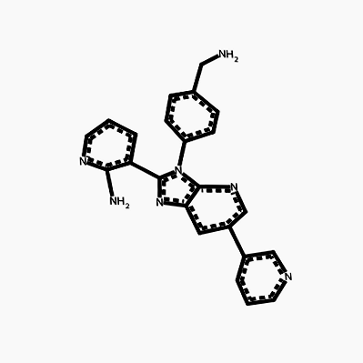 NCc1ccc(-n2c(-c3cccnc3N)nc3cc(-c4cccnc4)cnc32)cc1